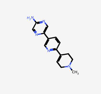 CN1CC=C(c2ccc(-c3cnc(N)cn3)cn2)CC1